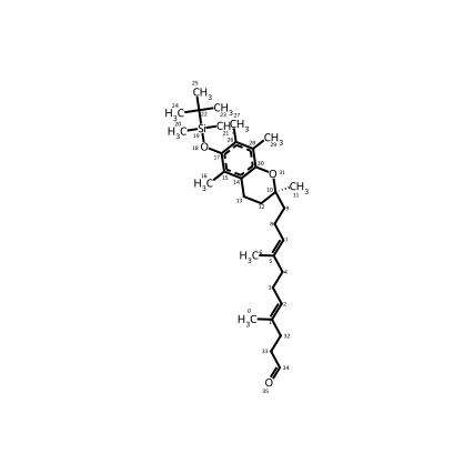 C/C(=C\CC/C(C)=C/CC[C@@]1(C)CCc2c(C)c(O[Si](C)(C)C(C)(C)C)c(C)c(C)c2O1)CCC=O